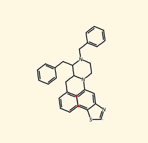 [c]1nc2cc(N3CCN(Cc4ccccc4)C(Cc4ccccc4)C3Cc3ccccc3)ccc2s1